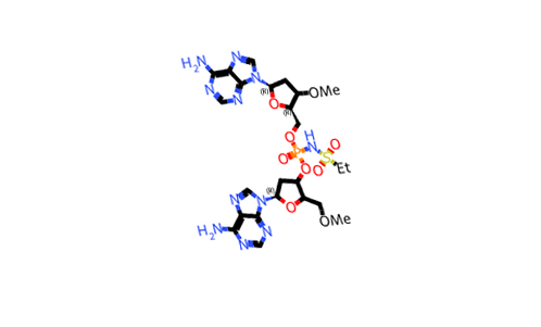 CCS(=O)(=O)NP(=O)(OC[C@H]1O[C@@H](n2cnc3c(N)ncnc32)CC1OC)OC1C[C@H](n2cnc3c(N)ncnc32)OC1COC